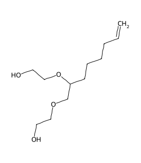 C=CCCCCC(COCCO)OCCO